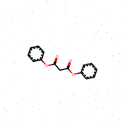 O=C(CC(=O)Oc1ccccc1)Oc1ccccc1